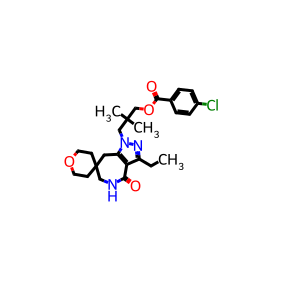 CCc1nn(CC(C)(C)COC(=O)c2ccc(Cl)cc2)c2c1C(=O)NCC1(CCOCC1)C2